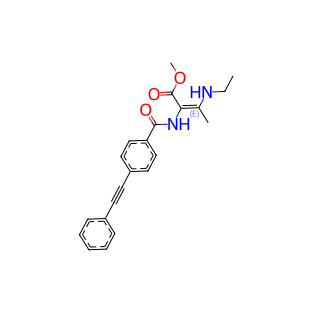 CCN/C(C)=C(/NC(=O)c1ccc(C#Cc2ccccc2)cc1)C(=O)OC